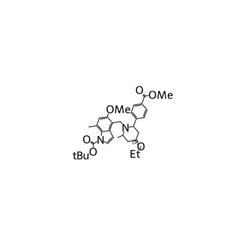 CCO[C@H]1CC(C)N(Cc2c(OC)cc(C)c3c2ccn3C(=O)OC(C)(C)C)C(c2ccc(C(=O)OC)cc2)C1